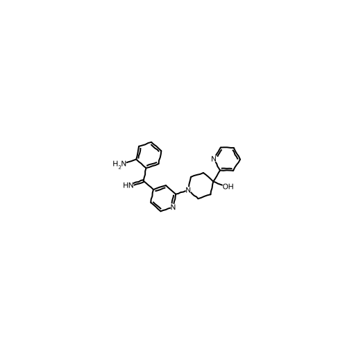 N=C(c1ccnc(N2CCC(O)(c3ccccn3)CC2)c1)c1ccccc1N